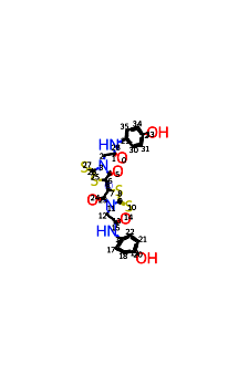 O=C(CN1C(=O)/C(=C2\SC(=S)N(CC(=O)Nc3ccc(O)cc3)C2=O)SC1=S)Nc1ccc(O)cc1